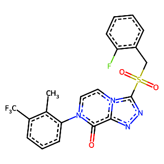 Cc1c(-n2ccn3c(S(=O)(=O)Cc4ccccc4F)nnc3c2=O)cccc1C(F)(F)F